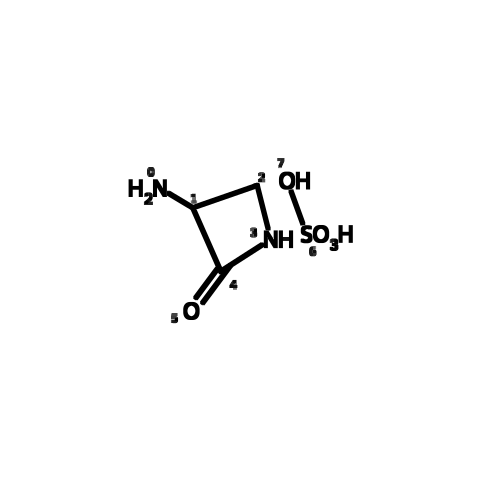 NC1CNC1=O.O=S(=O)(O)O